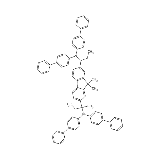 CCC(c1ccc2c(c1)C(C)(C)c1cc(C(C)(CC)N(c3ccc(-c4ccccc4)cc3)c3ccc(-c4ccccc4)cc3)ccc1-2)N(c1ccc(-c2ccccc2)cc1)c1ccc(-c2ccccc2)cc1